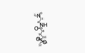 CN(C)CCNC(=O)CCCS(C)(=O)=O